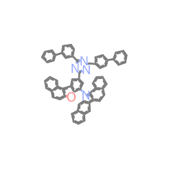 c1ccc(-c2ccc(-c3nc(-c4cccc(-c5ccccc5)c4)nc(-c4cc(-n5c6cc7ccccc7cc6c6ccc7ccccc7c65)c5oc6ccc7ccccc7c6c5c4)n3)cc2)cc1